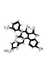 CC1=C(C(=O)C(C)C)C(c2ccc(C#N)cc2)N(CC2=NC(C(=O)O)CO2)C(=O)N1c1cccc(C(F)(F)F)c1